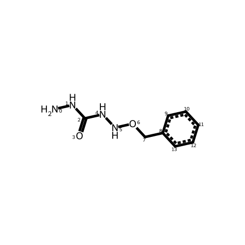 NNC(=O)NNOCc1ccccc1